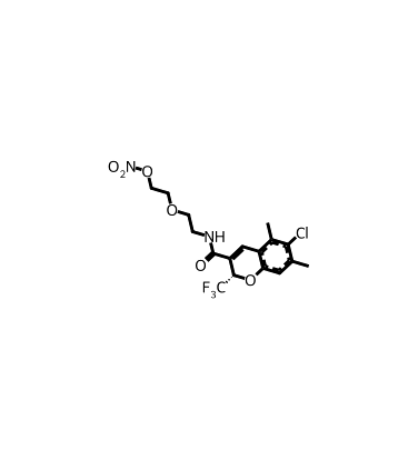 Cc1cc2c(c(C)c1Cl)C=C(C(=O)NCCOCCO[N+](=O)[O-])[C@@H](C(F)(F)F)O2